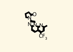 Cc1cc(C(F)(F)F)c2ccc3nc(N4CCCC4=O)cn3c2n1